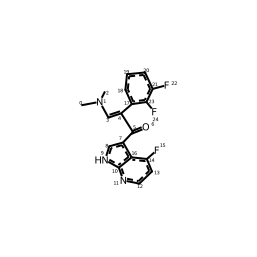 CN(C)C=C(C(=O)c1c[nH]c2nccc(F)c12)c1cccc(F)c1F